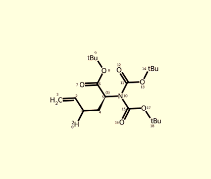 [2H]C(C=C)C[C@@H](C(=O)OC(C)(C)C)N(C(=O)OC(C)(C)C)C(=O)OC(C)(C)C